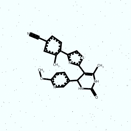 COc1ccc(C2NC(=O)NC(C)=C2c2nc(-c3ccc(C#N)cc3C)cs2)cn1